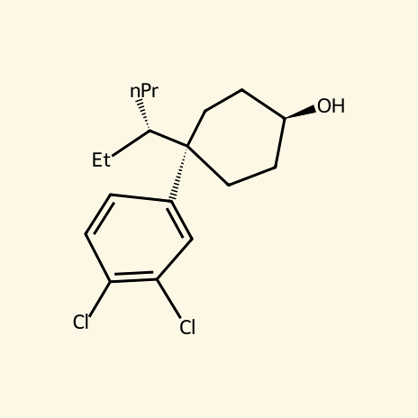 CCC[C@@H](CC)[C@]1(c2ccc(Cl)c(Cl)c2)CC[C@H](O)CC1